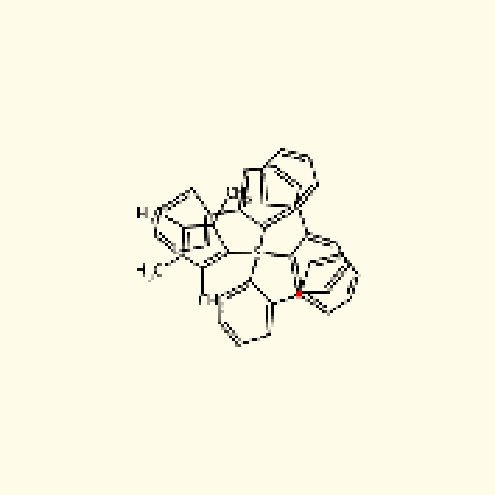 CC1=C(C)C(C)C([Si](c2ccccc2-c2ccccc2)(c2ccccc2-c2ccccc2)c2ccccc2-c2ccccc2)=C1C